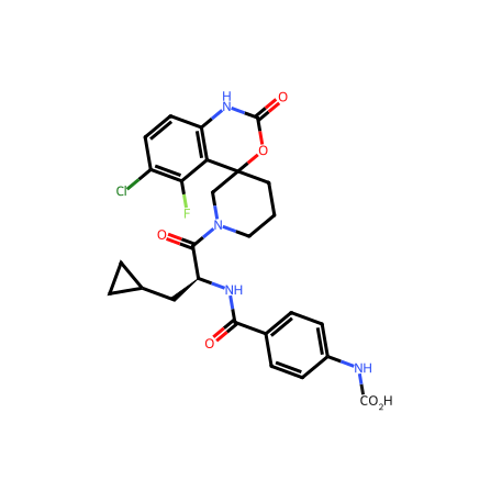 O=C(O)Nc1ccc(C(=O)N[C@@H](CC2CC2)C(=O)N2CCCC3(C2)OC(=O)Nc2ccc(Cl)c(F)c23)cc1